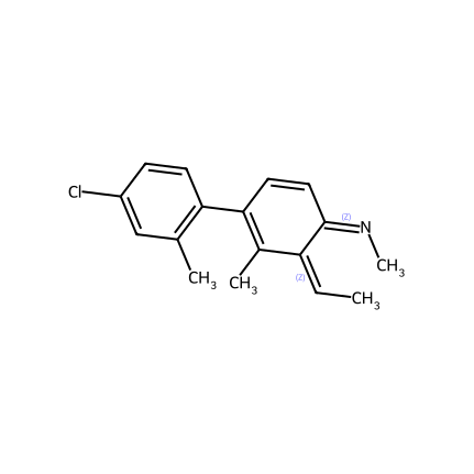 C/C=C1/C(C)=C(c2ccc(Cl)cc2C)C=C/C1=N/C